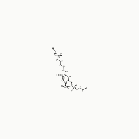 CCCCC(C)(C)C(CCCC(CCCCCCC(=O)OCC)C(=O)O)OC(C)=O